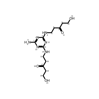 Nc1nc(NCCC(=O)CCO)nc(NCCC(=O)CCO)n1